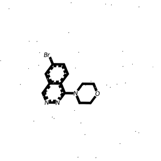 Brc1ccc2c(N3CCOCC3)nncc2c1